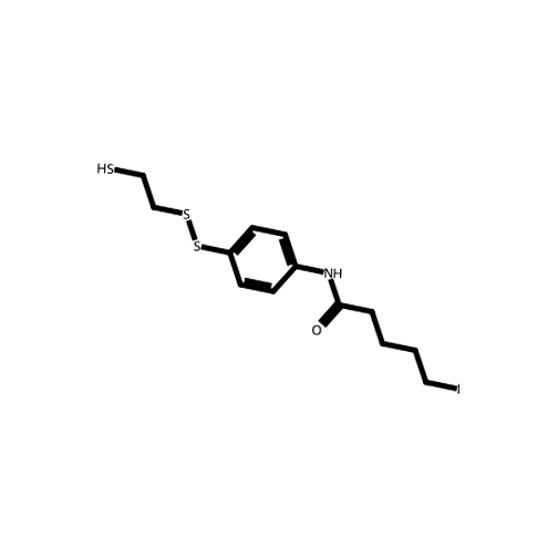 O=C(CCCCI)Nc1ccc(SSCCS)cc1